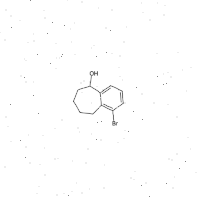 OC1CCCCc2c(Br)cccc21